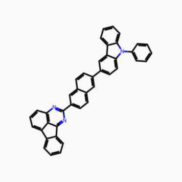 c1ccc(-n2c3ccccc3c3cc(-c4ccc5cc(-c6nc7c8c(cccc8n6)-c6ccccc6-7)ccc5c4)ccc32)cc1